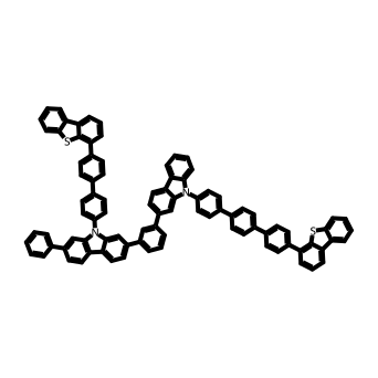 c1ccc(-c2ccc3c4ccc(-c5cccc(-c6ccc7c8ccccc8n(-c8ccc(-c9ccc(-c%10ccc(-c%11cccc%12c%11sc%11ccccc%11%12)cc%10)cc9)cc8)c7c6)c5)cc4n(-c4ccc(-c5ccc(-c6cccc7c6sc6ccccc67)cc5)cc4)c3c2)cc1